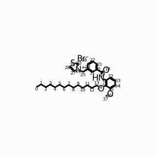 CCCCCCCCCCCCCCOc1c(NC(=O)c2cccc(C[n+]3ccsc3)c2)cccc1OC.[Br-]